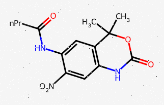 CCCC(=O)Nc1cc2c(cc1[N+](=O)[O-])NC(=O)OC2(C)C